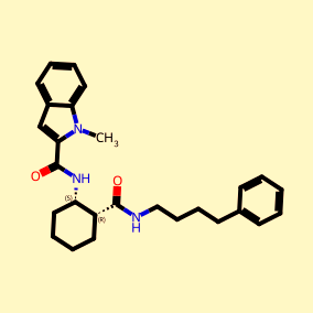 Cn1c(C(=O)N[C@H]2CCCC[C@H]2C(=O)NCCCCc2ccccc2)cc2ccccc21